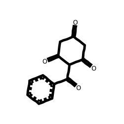 O=C1CC(=O)C(C(=O)c2ccccc2)C(=O)C1